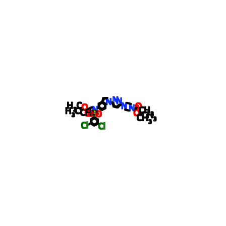 CC(C)(C)OC(=O)CN(c1ccc2c(ccn2-c2ccc(N3CCN(C(=O)OC(C)(C)C)CC3)nn2)c1)S(=O)(=O)c1cc(Cl)cc(Cl)c1